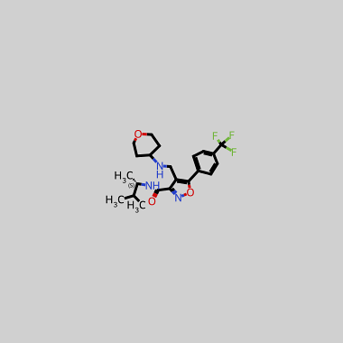 CC(C)[C@H](C)NC(=O)c1noc(-c2ccc(C(F)(F)F)cc2)c1CNC1CCOCC1